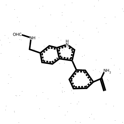 C=C(N)c1cccc(-c2c[nH]c3cc(CNC=O)ccc23)c1